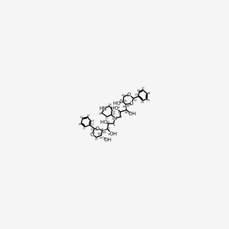 OC(CN(CC(O)C(O)[C@@H]1OC(c2ccccc2)OC[C@H]1O)C1CCNCC1)C(O)[C@@H]1OC(c2ccccc2)OC[C@H]1O